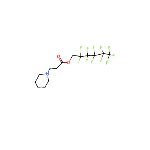 O=C(CCN1CCCCC1)OCC(F)(F)C(F)(F)C(F)(F)C(F)(F)C(F)(F)F